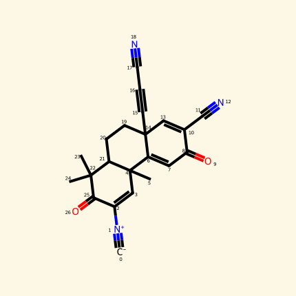 [C-]#[N+]C1=CC2(C)C3=CC(=O)C(C#N)=CC3(C#CC#N)CCC2C(C)(C)C1=O